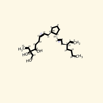 C=C[C@H](C/C=C/[C@H]1CCC[C@@H]1C/C=C\CCC(O)C(O)(C=C)CO)CCCC